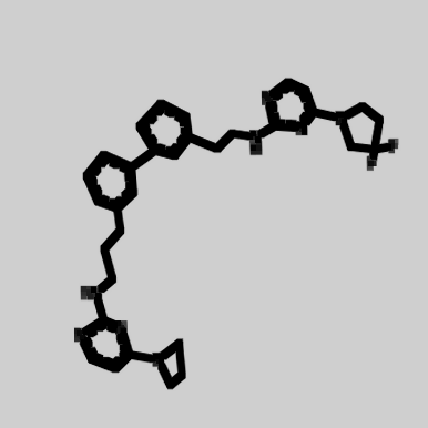 FC1(F)CCN(c2ccnc(NCCc3cccc(-c4cccc(CCCNc5nccc(N6CCC6)n5)c4)c3)n2)C1